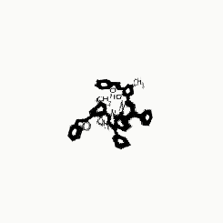 Cc1cc(-c2cc(-c3ccccc3)c3ccc4c(-c5ccccc5)cc(-c5cc(C)cc(-c6cc7ccccc7o6)c5O)nc4c3n2)c(O)c(-c2cc3ccccc3o2)c1